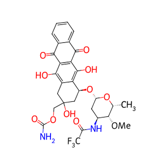 CO[C@@H]1[C@@H](NC(=O)C(F)(F)F)C[C@H](O[C@H]2CC(O)(COC(N)=O)Cc3c(O)c4c(c(O)c32)C(=O)c2ccccc2C4=O)O[C@@H]1C